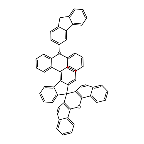 c1ccc(N(c2ccc3c(c2)-c2ccccc2C3)c2ccccc2-c2cccc3c2-c2ccccc2C32c3ccc4ccccc4c3Oc3c2ccc2ccccc32)cc1